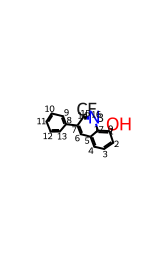 Oc1cccc2cc(-c3ccccc3)c(C(F)(F)F)nc12